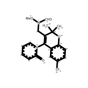 CON(C=O)CC1=C(n2ccccc2=O)c2cc(C(F)(F)F)ccc2OC1(C)C